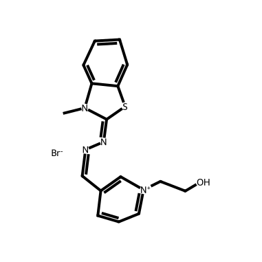 Cn1/c(=N\N=C/c2ccc[n+](CCO)c2)sc2ccccc21.[Br-]